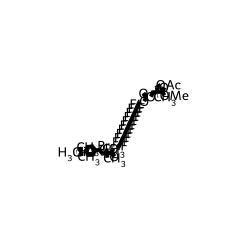 COC(=O)[C@](C)(COC(C)=O)COC(=O)OCC(F)(F)C(F)(F)C(F)(F)C(F)(F)C(F)(F)C(F)(F)C(F)(F)C(F)(F)C(F)(F)C(F)(F)COC(=O)C(C)(C)C[C@H](Br)c1ccc([Si](C)(C)C)cc1